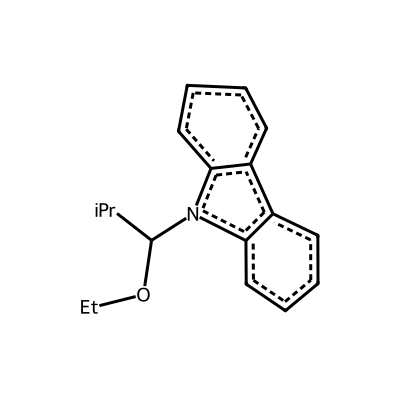 CCOC(C(C)C)n1c2ccccc2c2ccccc21